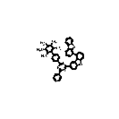 Bc1c(B)c(B)c(-c2ccc(-c3nc(-c4ccccc4)nc(-c4ccc5oc6cccc(-c7cccc8c7sc7ccccc78)c6c5c4)n3)cc2)c(B)c1B